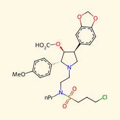 CCCN(CCN1C[C@H](c2ccc3c(c2)OCO3)[C@H](OC(=O)O)[C@H]1c1ccc(OC)cc1)S(=O)(=O)CCCCl